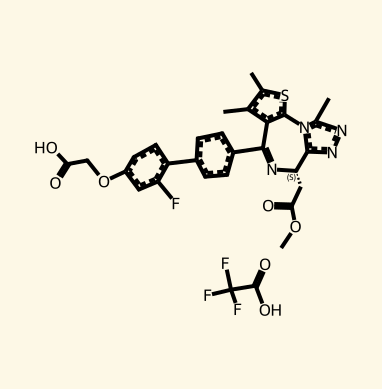 COC(=O)C[C@@H]1N=C(c2ccc(-c3ccc(OCC(=O)O)cc3F)cc2)c2c(sc(C)c2C)-n2c(C)nnc21.O=C(O)C(F)(F)F